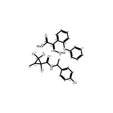 CCC1(C(=O)NC(C)c2ccc(Cl)cc2)C(C)C1(Cl)Cl.CNC(=O)/C(=N/OC)c1ccccc1Oc1ccccc1